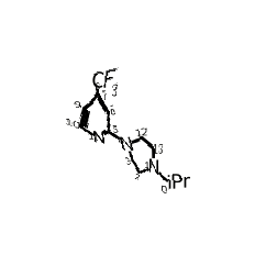 CC(C)N1CCN(c2cc(C(F)(F)F)ccn2)CC1